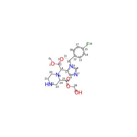 COC(=O)C(c1cncn1[C@H](C)c1ccc(F)cc1)N1CCNCC1C(=O)OCO